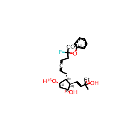 CCC(C)([16OH])C=C[C@@H]1[C@@H](CC=C=CCC(F)(Oc2ccccc2)C(=O)O)[C@@H]([16OH])C[C@H]1[16OH]